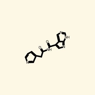 O=C(Cc1cccnc1)NC(=O)c1cnc2[nH]cncc1-2